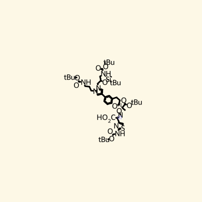 CC(C)(C)OC(=O)NCCC[n+]1cc(-c2ccc3c(c2)CC[C@H](C(C)(O/N=C(\C(=O)O)c2csc(NC(=O)OC(C)(C)C)n2)C(=O)OC(C)(C)C)O3)cn1CC(CNC(=O)OC(C)(C)C)O[Si](C)(C)C(C)(C)C